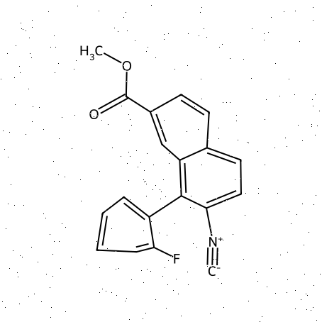 [C-]#[N+]c1ccc2ccc(C(=O)OC)cc2c1-c1ccccc1F